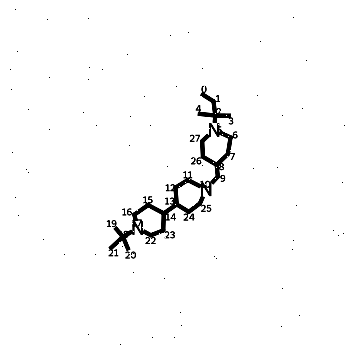 CCC(C)(C)N1CCC(CN2CCC(C3CCN(C(C)(C)C)CC3)CC2)CC1